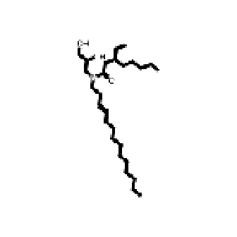 CCCCCCCCCCC=CCCN(CC(O)CO)C(=O)CC(CC)CCCCC